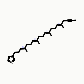 CC#CC/C(C)=C/CC/C(C)=C/CC/C(C)=C/CC/C(C)=C/CCc1ccsc1